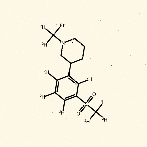 [2H]c1c([2H])c([C@@H]2CCCN(C([2H])([2H])CC)C2)c([2H])c(S(=O)(=O)C([2H])([2H])[2H])c1[2H]